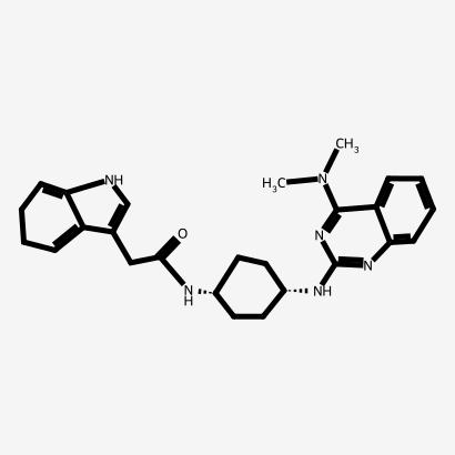 CN(C)c1nc(N[C@H]2CC[C@@H](NC(=O)Cc3c[nH]c4c3=CCCC=4)CC2)nc2ccccc12